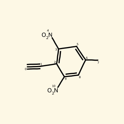 C#Cc1c([N+](=O)[O-])cc(C)cc1[N+](=O)[O-]